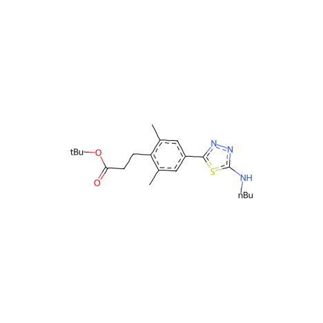 CCCCNc1nnc(-c2cc(C)c(CCC(=O)OC(C)(C)C)c(C)c2)s1